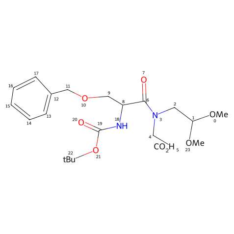 COC(CN(CC(=O)O)C(=O)C(COCc1ccccc1)NC(=O)OC(C)(C)C)OC